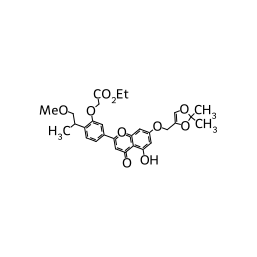 CCOC(=O)COc1cc(-c2cc(=O)c3c(O)cc(OCC4=COC(C)(C)O4)cc3o2)ccc1C(C)COC